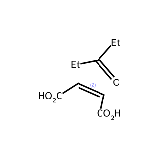 CCC(=O)CC.O=C(O)/C=C\C(=O)O